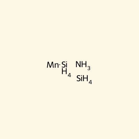 N.[Mn].[SiH4].[SiH4]